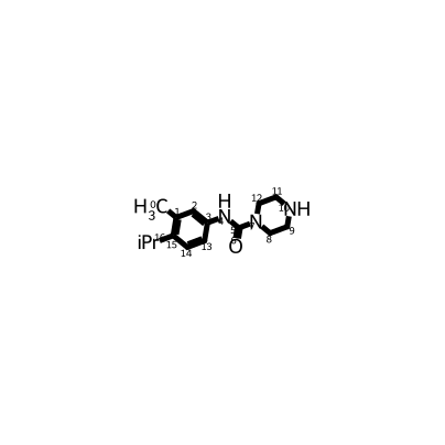 Cc1cc(NC(=O)N2CCNCC2)ccc1C(C)C